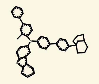 Cc1cc(-c2ccccc2)ccc1N(c1ccc(-c2ccc(C34CCCC(CCC3)C4)cc2)cc1)c1ccc2oc3ccccc3c2c1